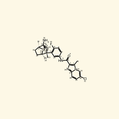 Cc1c(C(=O)Nc2ccc(F)c([C@@]3(C)N=C(N)[C@]4(C)CC[C@H]3S4(=O)=O)c2)nc2ccc(Cl)cn12